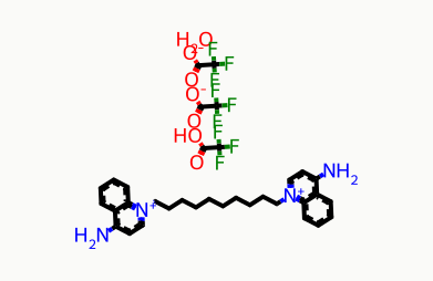 Nc1cc[n+](CCCCCCCCCC[n+]2ccc(N)c3ccccc32)c2ccccc12.O.O=C(O)C(F)(F)F.O=C([O-])C(F)(F)F.O=C([O-])C(F)(F)F